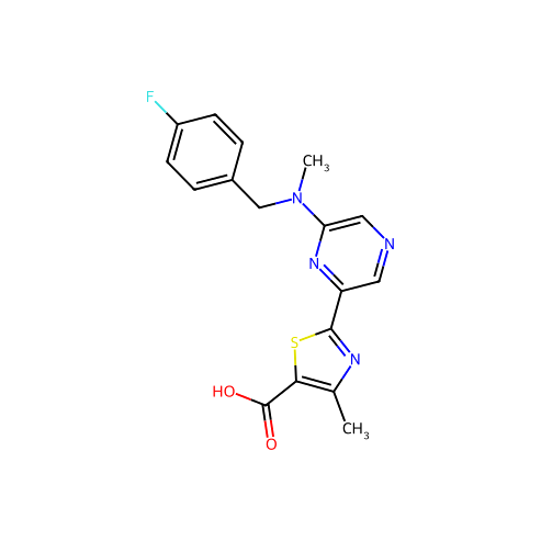 Cc1nc(-c2cncc(N(C)Cc3ccc(F)cc3)n2)sc1C(=O)O